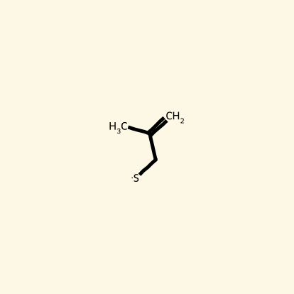 C=C(C)C[S]